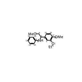 CCOc1cc(C(COC)Nc2ccccc2)ccc1OC